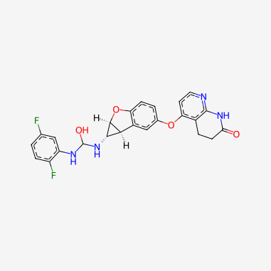 O=C1CCc2c(Oc3ccc4c(c3)[C@H]3[C@H](NC(O)Nc5cc(F)ccc5F)[C@H]3O4)ccnc2N1